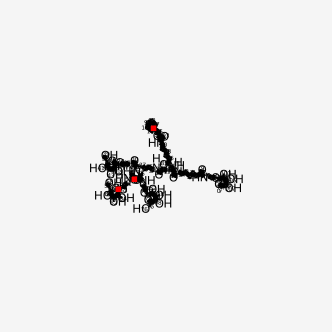 C[C@@H]1O[C@@H](OCCNC(=O)CCCCCNC(=O)[C@H](CCC(=O)NCCCC[C@@H](C(=O)NCCO[C@H]2O[C@H](CO)[C@@H](O)[C@H](O)[C@@H]2O)N(CC(=O)NCCO[C@H]2O[C@H](CO)[C@@H](O)[C@H](O)[C@@H]2O)CC(=O)NCCO[C@H]2O[C@H](CO)[C@@H](O)[C@H](O)[C@@H]2O)NC(=O)CCCCCNC(=O)OCc2ccccc2)[C@@H](O)[C@H](O)[C@@H]1O